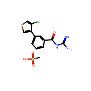 CS(=O)(=O)O.N=C(N)NC(=O)c1cccc(-c2cscc2Cl)c1